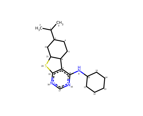 CC(C)C1CCC2c3c(NC4CCCCC4)ncnc3SC2C1